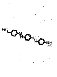 CCNc1ccc(N=Nc2ccc(N=Nc3ccc(CO)cc3)cc2)cc1